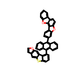 c1ccc2c(c1)oc1c2ccc2oc3cc(-c4c5ccccc5c(-c5cccc6sc7cc8ccoc8cc7c56)c5ccccc45)ccc3c21